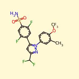 Cc1cc(-n2nc(C(F)F)cc2-c2cc(F)c(S(N)(=O)=O)cc2F)ccc1OC(F)(F)F